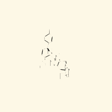 CCSc1ccc(-c2ccc(C)cc2)nc1-c1nc2cc(C(F)(F)F)ncc2n1C